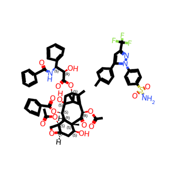 CC(=O)O[C@H]1C(=O)[C@@]2(C)[C@H]([C@H](OC(=O)c3ccccc3)[C@]3(O)C[C@H](OC(=O)[C@H](O)[C@@H](NC(=O)c4ccccc4)c4ccccc4)C(C)=C1C3(C)C)[C@]1(OC(C)=O)CO[C@@H]1C[C@@H]2O.Cc1ccc(-c2cc(C(F)(F)F)nn2-c2ccc(S(N)(=O)=O)cc2)cc1